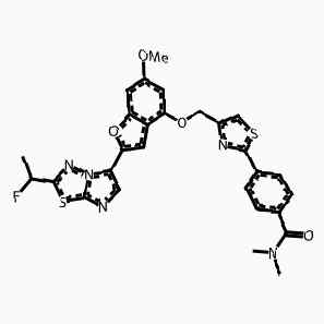 COc1cc(OCc2csc(-c3ccc(C(=O)N(C)C)cc3)n2)c2cc(-c3cnc4sc(C(C)F)nn34)oc2c1